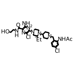 CC[C@H]1CN(c2nc(N)c(C(=O)NCCO)nc2Cl)CCN1C1CCN(Cc2ccc(Cl)cc2NC(C)=O)CC1